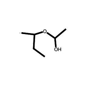 [CH2]C(CC)OC(C)O